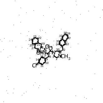 CN1CCN(C(=O)[C@@H](Cc2ccc(Cl)cc2)NC(=O)[C@H]2Cc3ccccc3CN2C)C[C@H]1Cc1ccc2ccccc2c1